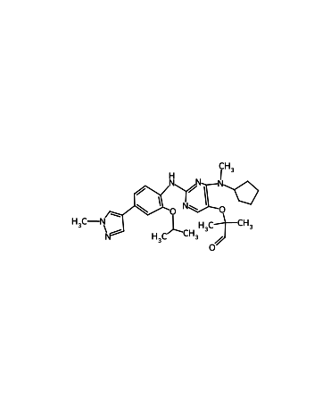 CC(C)Oc1cc(-c2cnn(C)c2)ccc1Nc1ncc(OC(C)(C)C=O)c(N(C)C2CCCC2)n1